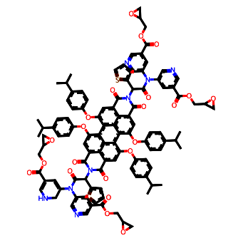 CC(C)c1ccc(Oc2cc3c4c(cc(Oc5ccc(C(C)C)cc5)c5c6c(Oc7ccc(C(C)C)cc7)cc7c8c(cc(Oc9ccc(C(C)C)cc9)c(c2c45)c86)C(=O)N(C(C(=O)N(c2cncc(C(=O)OCC4CO4)c2)c2cncc(C(=O)OCC4CO4)c2)c2cccs2)C7=O)C(=O)N(C(C(=O)N(C2=CC(C(=O)OCC4CO4)=CNC2)c2cncc(C(=O)OCC4CO4)c2)c2cccs2)C3=O)cc1